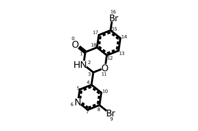 O=C1NC(c2cncc(Br)c2)Oc2ccc(Br)cc21